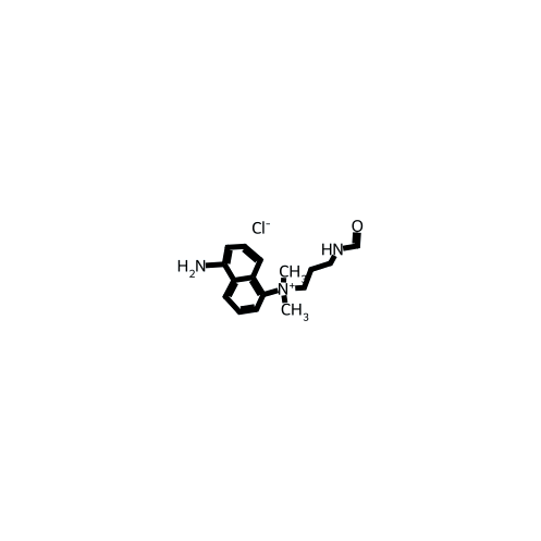 C[N+](C)(CCCNC=O)c1cccc2c(N)cccc12.[Cl-]